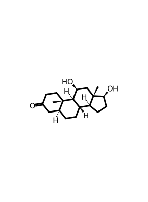 C[C@]12CCC(=O)C[C@@H]1CC[C@@H]1[C@@H]2[C@@H](O)C[C@]2(C)[C@@H](O)CC[C@@H]12